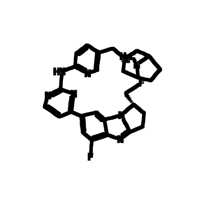 CN1C2CCC1CN(Cc1ccc(Nc3nccc(-c4cc(F)c5nc6n(c5c4)[C@H](CF)CC6)n3)nc1)C2